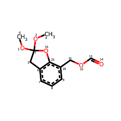 COC1(OC)Cc2cccc(COC=O)c2O1